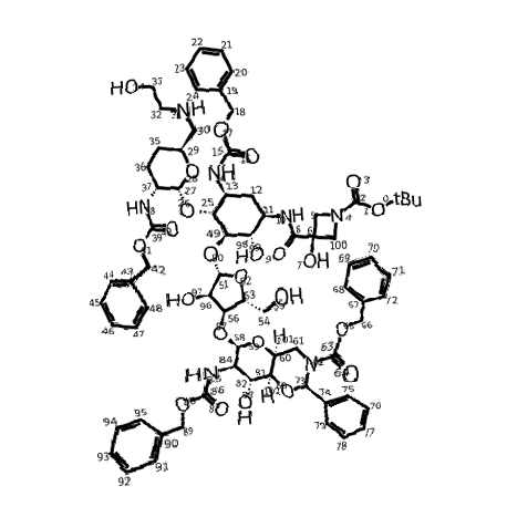 CC(C)(C)OC(=O)N1CC(O)(C(=O)N[C@@H]2C[C@H](NC(=O)OCc3ccccc3)[C@@H](O[C@H]3O[C@H](CNCCO)CC[C@H]3NC(=O)OCc3ccccc3)[C@H](O[C@@H]3O[C@H](CO)[C@@H](O[C@H]4O[C@H]5CN(C(=O)OCc6ccccc6)C(c6ccccc6)O[C@H]5[C@H](O)[C@H]4NC(=O)OCc4ccccc4)[C@H]3O)[C@H]2O)C1